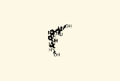 COc1nc(-c2ccnc(-c3cccc(Nc4nccc(CNCCO)c4F)c3Cl)c2Cl)ccc1CNCCO